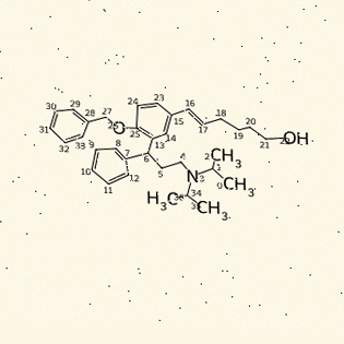 CC(C)N(CCC(c1ccccc1)c1cc(C=CCCCCO)ccc1OCc1ccccc1)C(C)C